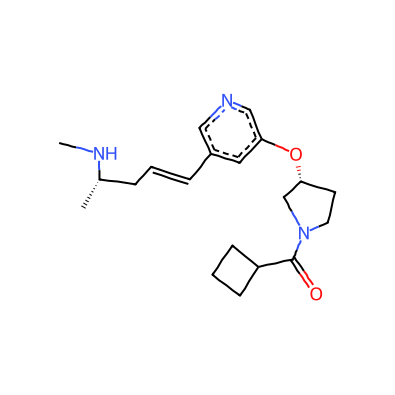 CN[C@@H](C)CC=Cc1cncc(O[C@@H]2CCN(C(=O)C3CCC3)C2)c1